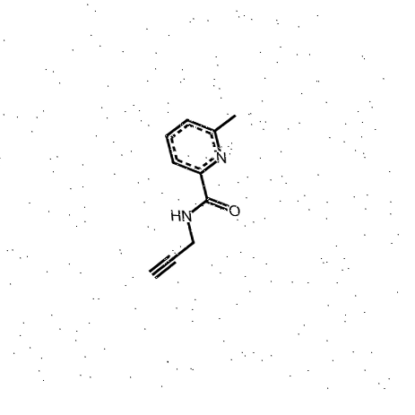 C#CCNC(=O)c1cccc(C)n1